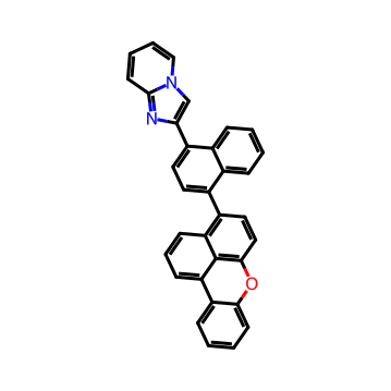 c1ccc2c(c1)Oc1ccc(-c3ccc(-c4cn5ccccc5n4)c4ccccc34)c3cccc-2c13